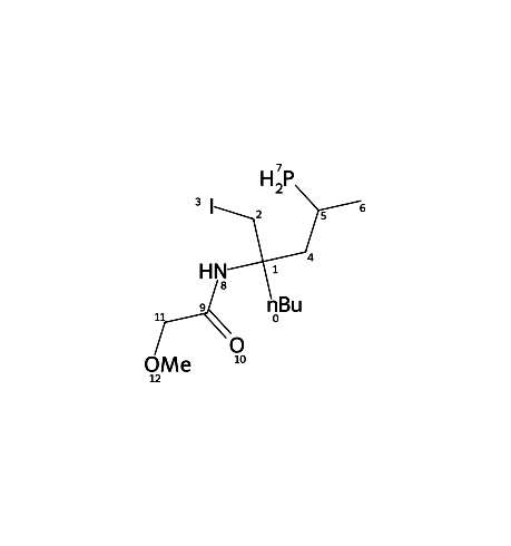 CCCCC(CI)(CC(C)P)NC(=O)COC